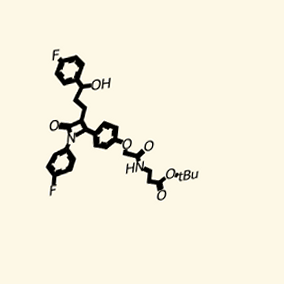 CC(C)(C)OC(=O)CCNC(=O)COc1ccc(C2C(CCC(O)c3ccc(F)cc3)C(=O)N2c2ccc(F)cc2)cc1